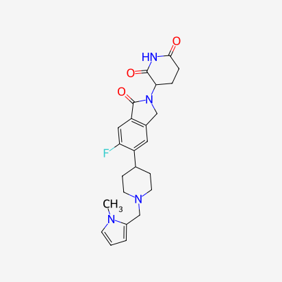 Cn1cccc1CN1CCC(c2cc3c(cc2F)C(=O)N(C2CCC(=O)NC2=O)C3)CC1